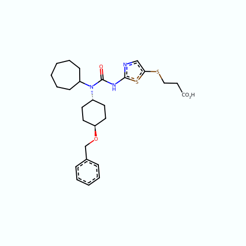 O=C(O)CCSc1cnc(NC(=O)N(C2CCCCCC2)[C@H]2CC[C@H](OCc3ccccc3)CC2)s1